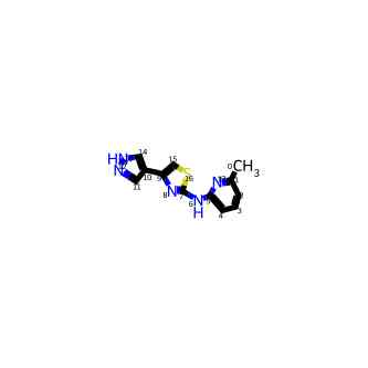 Cc1cccc(Nc2nc(-c3cn[nH]c3)cs2)n1